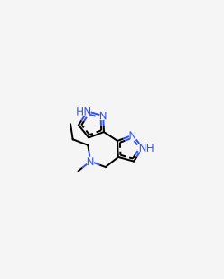 CCCN(C)Cc1c[nH]nc1-c1cc[nH]n1